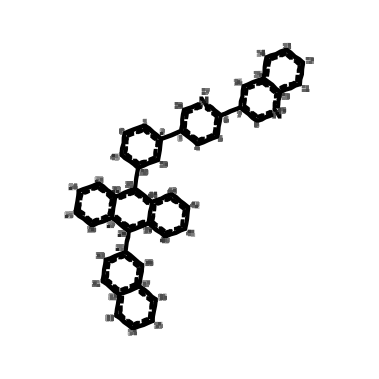 c1cc(-c2ccc(-c3cnc4ccccc4c3)nc2)cc(-c2c3ccccc3c(-c3ccc4ccccc4c3)c3ccccc23)c1